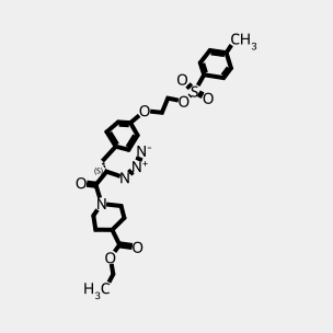 CCOC(=O)C1CCN(C(=O)[C@H](Cc2ccc(OCCOS(=O)(=O)c3ccc(C)cc3)cc2)N=[N+]=[N-])CC1